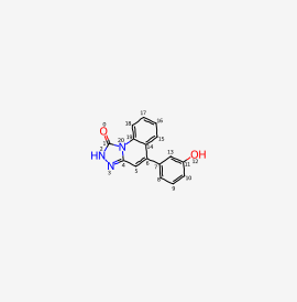 O=c1[nH]nc2cc(-c3cccc(O)c3)c3ccccc3n12